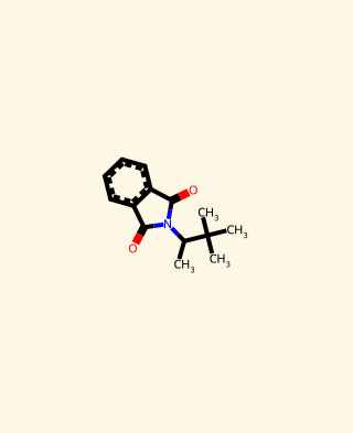 CC(N1C(=O)c2ccccc2C1=O)C(C)(C)C